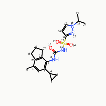 Cc1cc(C2CC2)c(NC(=O)NS(=O)(=O)c2ccn(C(C)C)n2)c2c1CCC2